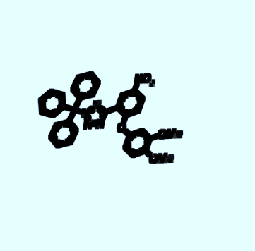 COc1ccc(Oc2ccc([N+](=O)[O-])cc2-c2nnn(C(c3ccccc3)(c3ccccc3)c3ccccc3)n2)cc1OC